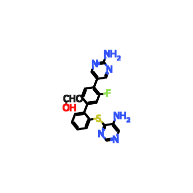 Nc1ncc(-c2ccc(-c3ccccc3Sc3ncncc3N)cc2F)cn1.O=CO